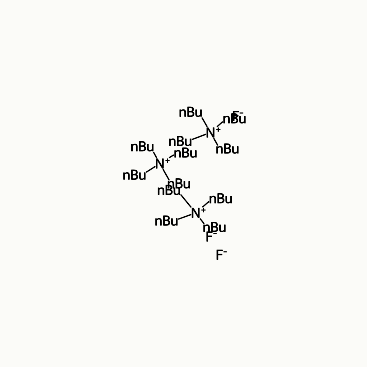 CCCC[N+](CCCC)(CCCC)CCCC.CCCC[N+](CCCC)(CCCC)CCCC.CCCC[N+](CCCC)(CCCC)CCCC.[F-].[F-].[F-]